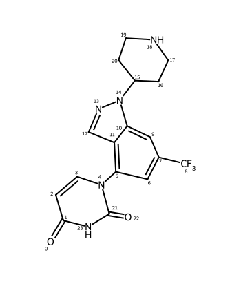 O=c1ccn(-c2cc(C(F)(F)F)cc3c2cnn3C2CCNCC2)c(=O)[nH]1